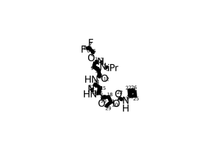 CC(C)n1nc(OCC(F)F)cc1C(=O)Nc1cc([C@@H]2C[C@H](OC(=O)NC34CC(C3)C4)CO2)[nH]n1